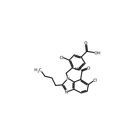 CCCCc1nc2ccc(Cl)c(C(=O)O)c2n1Cc1ccc(C(=O)O)cc1Cl